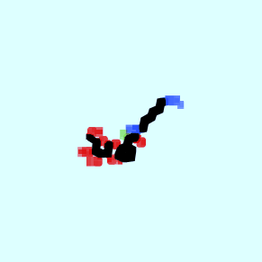 NCCCCCCNC(=O)C(F)c1ccccc1O[C@@H]1O[C@H](CO)[C@@H](O)[C@@H](O)[C@@H]1O